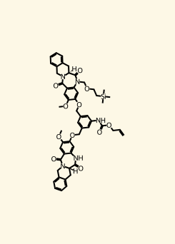 C=CCOC(=O)Nc1cc(COc2cc3c(cc2OC)C(=O)N2Cc4ccccc4C[C@H]2C(=O)N3)cc(COc2cc3c(cc2OC)C(=O)N2Cc4ccccc4C[C@H]2C(=O)N3COCC[Si](C)(C)C)c1